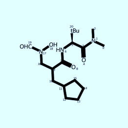 CN(C)C(=O)[C@@H](NC(=O)C(CC1CCCC1)CN(O)C=O)C(C)(C)C